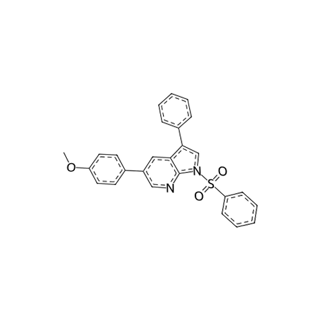 COc1ccc(-c2cnc3c(c2)c(-c2ccccc2)cn3S(=O)(=O)c2ccccc2)cc1